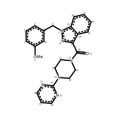 COc1cccc(Cn2nc(C(=O)N3CCN(c4ncccn4)CC3)c3ccccc32)c1